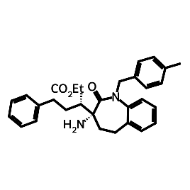 CCOC(=O)[C@@H](CCc1ccccc1)[C@]1(N)CCc2ccccc2N(Cc2ccc(C)cc2)C1=O